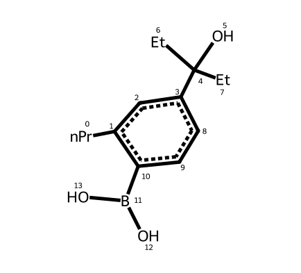 CCCc1cc(C(O)(CC)CC)ccc1B(O)O